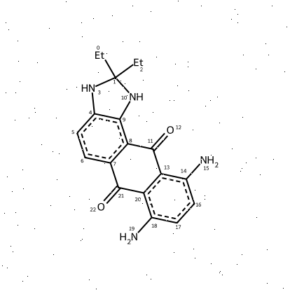 CCC1(CC)Nc2ccc3c(c2N1)C(=O)c1c(N)ccc(N)c1C3=O